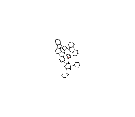 c1ccc(-c2nc(-c3ccccc3)nc(-c3ccc4c(c3)C3(c5ccccc5C5(c6ccccc6-c6ccccc65)c5ccccc53)c3c-4ccc4c3oc3ccccc34)n2)cc1